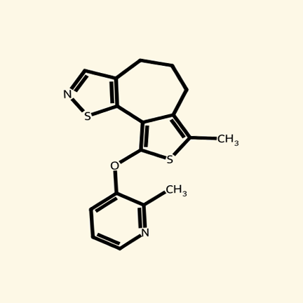 Cc1ncccc1Oc1sc(C)c2c1-c1sncc1CCC2